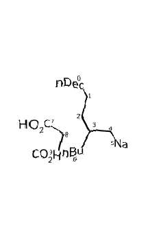 CCCCCCCCCCCCC([CH2][Na])CCCC.O=C(O)CC(=O)O